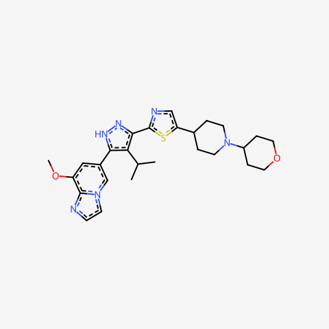 COc1cc(-c2[nH]nc(-c3ncc(C4CCN(C5CCOCC5)CC4)s3)c2C(C)C)cn2ccnc12